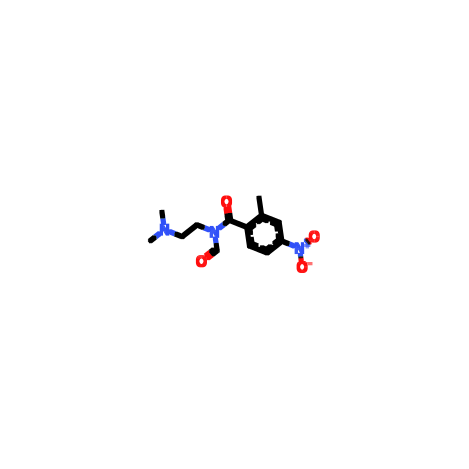 Cc1cc([N+](=O)[O-])ccc1C(=O)N(C=O)CCN(C)C